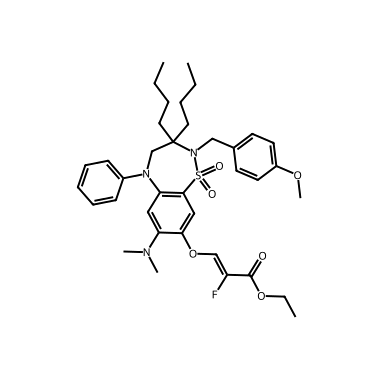 CCCCC1(CCCC)CN(c2ccccc2)c2cc(N(C)C)c(O/C=C(\F)C(=O)OCC)cc2S(=O)(=O)N1Cc1ccc(OC)cc1